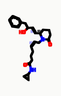 O=C(CCC/C=C\CN1C(=O)CCC[C@@H]1/C=C/C(O)Cc1ccccc1)NC1CC1